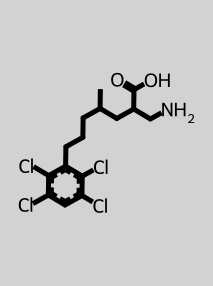 CC(CCCc1c(Cl)c(Cl)cc(Cl)c1Cl)CC(CN)C(=O)O